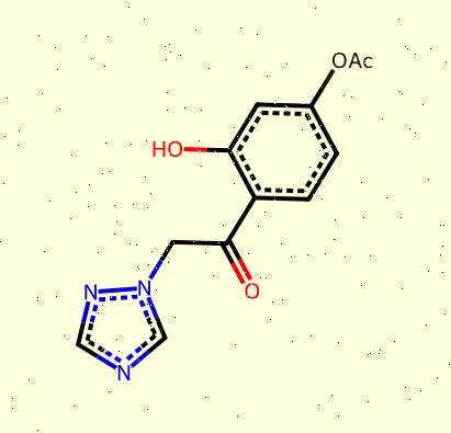 CC(=O)Oc1ccc(C(=O)Cn2cncn2)c(O)c1